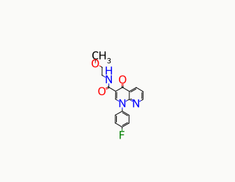 COCCNC(=O)c1cn(-c2ccc(F)cc2)c2ncccc2c1=O